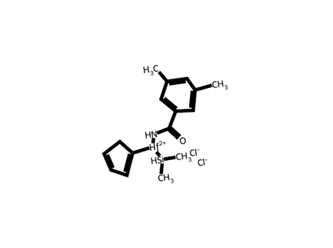 Cc1cc(C)cc(C(=O)[NH][Hf+2]([C]2=CC=CC2)[SiH](C)C)c1.[Cl-].[Cl-]